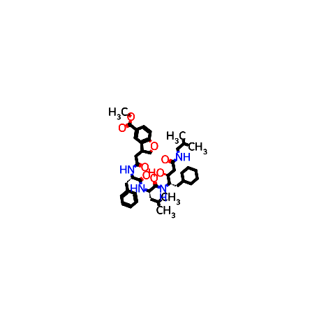 COC(=O)c1ccc2c(c1)C(CC(=O)N[C@@H](Cc1ccccc1)C(=O)N[C@@H](CC(C)C)C(=O)N[C@@H](CC1CCCCC1)[C@@H](O)CC(=O)NCC(C)C)CO2